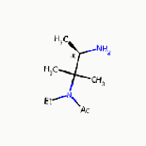 CCN(C(C)=O)C(C)(C)[C@@H](C)N